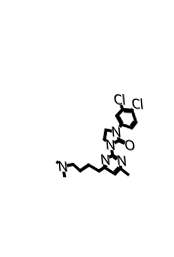 Cc1cc(CCCCN(C)C)nc(N2CCN(c3ccc(Cl)c(Cl)c3)C2=O)n1